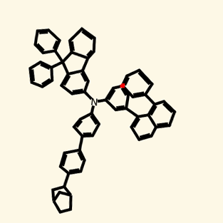 c1ccc(-c2cccc3cccc(-c4cccc(N(c5ccc(-c6ccc(C7CC8CCC7C8)cc6)cc5)c5ccc6c(c5)-c5ccccc5C6(c5ccccc5)c5ccccc5)c4)c23)cc1